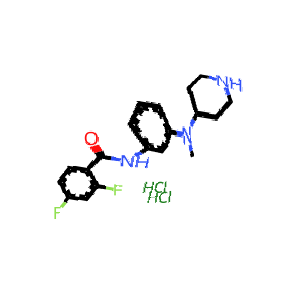 CN(c1cccc(NC(=O)c2ccc(F)cc2F)c1)C1CCNCC1.Cl.Cl